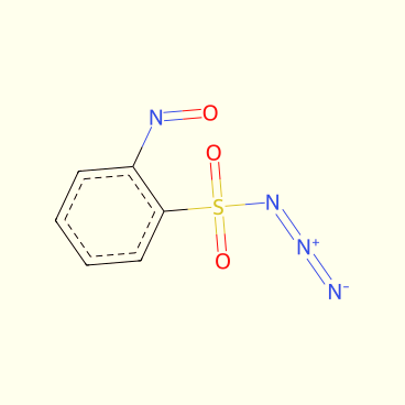 [N-]=[N+]=NS(=O)(=O)c1ccccc1N=O